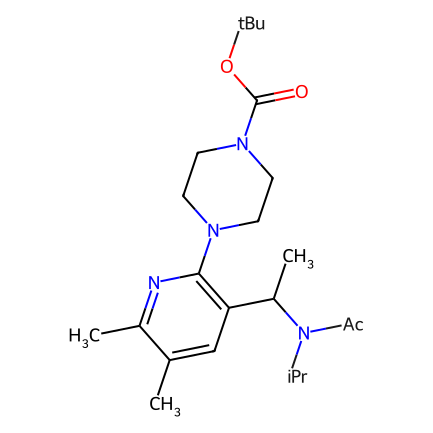 CC(=O)N(C(C)C)C(C)c1cc(C)c(C)nc1N1CCN(C(=O)OC(C)(C)C)CC1